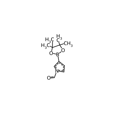 CC1(C)OB(c2ccn(C=O)c2)OC1(C)C